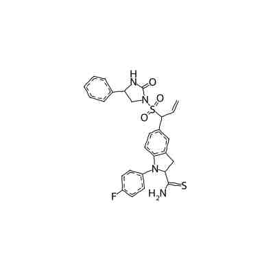 C=CC(c1ccc2c(c1)CC(C(N)=S)N2c1ccc(F)cc1)S(=O)(=O)N1CC(c2ccccc2)NC1=O